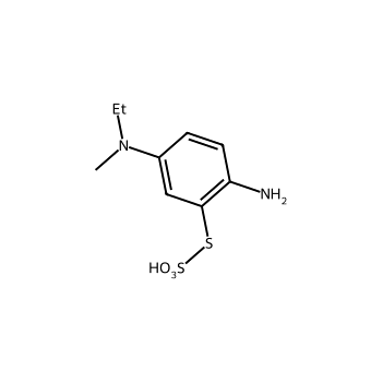 CCN(C)c1ccc(N)c(SS(=O)(=O)O)c1